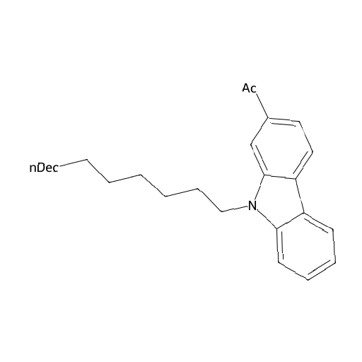 CCCCCCCCCCCCCCCCn1c2ccccc2c2ccc(C(C)=O)cc21